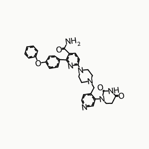 NC(=O)c1ccc(N2CCN(Cc3ccncc3N3CCC(=O)NC3=O)CC2)nc1-c1ccc(Oc2ccccc2)cc1